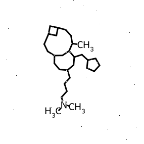 CC1CCC2CC(CCC3CCC(CCCCN(C)C)CC(CC4CCCC4)C1C3)C2